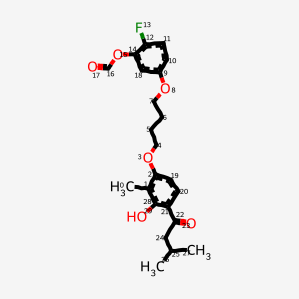 Cc1c(OCCCCOc2ccc(F)c(OC=O)c2)ccc(C(=O)CC(C)C)c1O